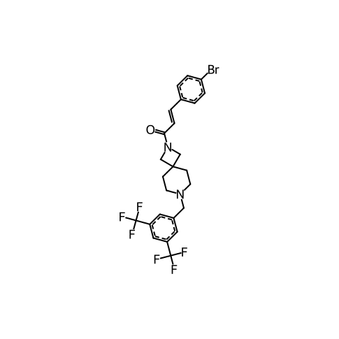 O=C(/C=C/c1ccc(Br)cc1)N1CC2(CCN(Cc3cc(C(F)(F)F)cc(C(F)(F)F)c3)CC2)C1